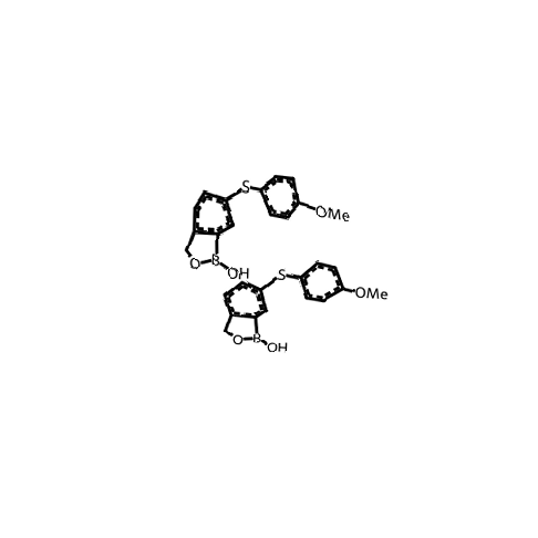 COc1ccc(Sc2ccc3c(c2)B(O)OC3)cc1.COc1ccc(Sc2ccc3c(c2)B(O)OC3)cc1